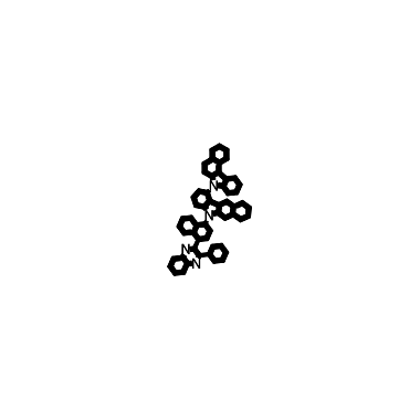 c1ccc(-c2nc3ccccc3nc2-c2ccc(-n3c4cc5ccccc5cc4c4c(-n5c6ccccc6c6c7ccccc7ccc65)cccc43)c3ccccc23)cc1